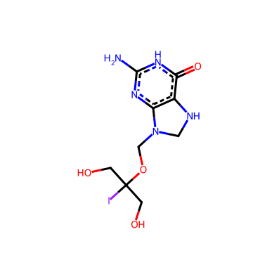 Nc1nc2c(c(=O)[nH]1)NCN2COC(I)(CO)CO